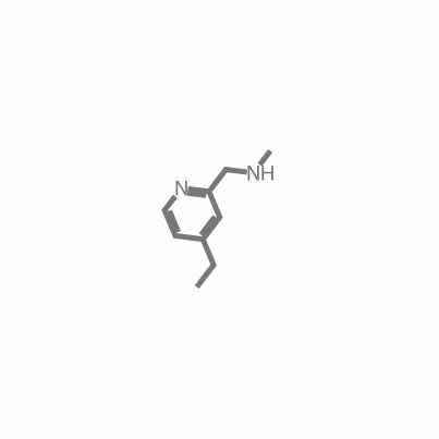 CCc1ccnc(CNC)c1